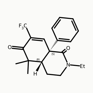 CCN1CC[C@@H]2C(C)(C)C(=O)C(C(F)(F)F)=C[C@@]2(c2ccccc2)C1=O